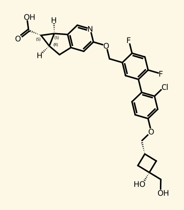 O=C(O)[C@H]1[C@@H]2Cc3cc(OCc4cc(-c5ccc(OC[C@H]6C[C@](O)(CO)C6)cc5Cl)c(F)cc4F)ncc3[C@@H]21